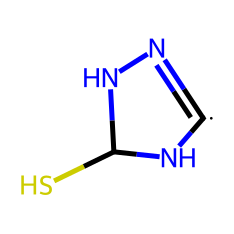 SC1N[C]=NN1